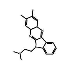 CC1=CC2N=c3c(n(CCN(C)C)c4ccccc34)=NC2C=C1C